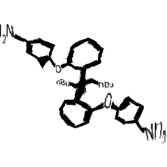 CCCCC(CCCC)(c1ccccc1Oc1ccc(N)cc1)c1ccccc1Oc1ccc(N)cc1